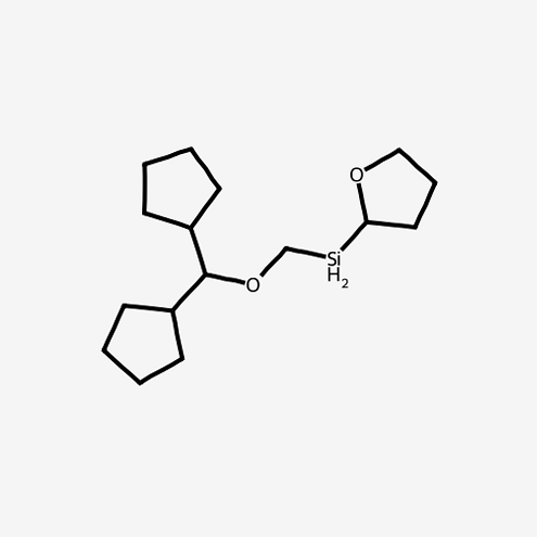 C1COC([SiH2]COC(C2CCCC2)C2CCCC2)C1